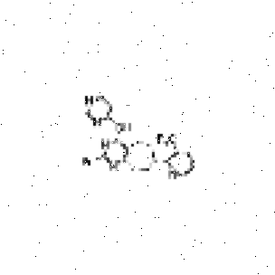 CC(C)c1nc2c(c(Nc3ccncn3)n1)CCN(c1ncccc1C(F)(F)F)CC2